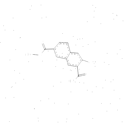 CCCCOC(=O)c1ccc2cc(OC)c(C(N)=O)cc2c1